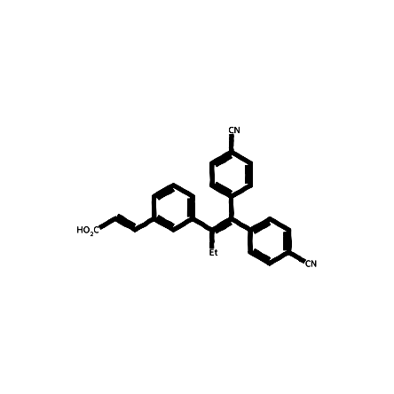 CCC(=C(c1ccc(C#N)cc1)c1ccc(C#N)cc1)c1cccc(C=CC(=O)O)c1